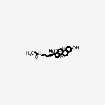 CCC(=O)OCCCC#C[C@]1(O)CC[C@H]2[C@@H]3CCc4cc(O)ccc4[C@H]3CC[C@@]21C